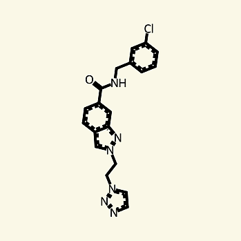 O=C(NCc1cccc(Cl)c1)c1ccc2cn(CCn3ccnn3)nc2c1